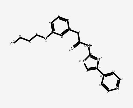 O=C(Cc1cccc(OCCCCl)c1)Nc1nc(-c2ccncc2)cs1